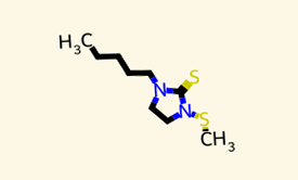 CCCCCN1CCN(SC)C1=S